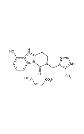 Cc1[nH]cnc1CN1CCc2[nH]c3c(O)cccc3c2C1=O.O=C(O)/C=C\C(=O)O